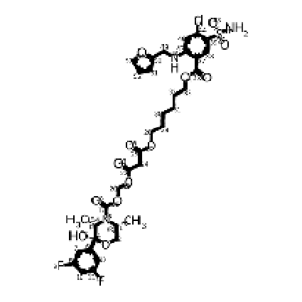 C[C@@H]1CO[C@@](O)(c2cc(F)cc(F)c2)[C@H](C)N1C(=O)OCOC(=O)CC(=O)OCCCCCCOC(=O)c1cc(S(N)(=O)=O)c(Cl)cc1NCc1ccco1